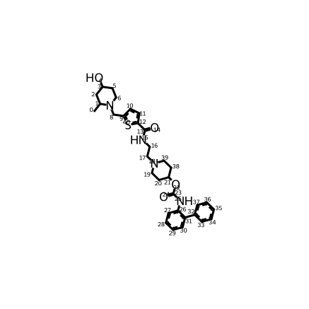 CC1CC(O)CCN1Cc1ccc(C(=O)NCCN2CCC(OC(=O)Nc3ccccc3-c3ccccc3)CC2)s1